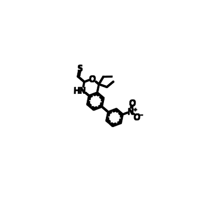 CCC1(CC)OC(C=S)Nc2ccc(-c3cccc([N+](=O)[O-])c3)cc21